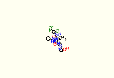 CCc1c(N2CCN(Cc3ncccc3O)CC2)c(=O)n2nc(C3=CCCCCC3)nc2n1CC(=O)Nc1ccc(C(F)(F)F)cc1Cl